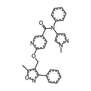 Cc1onc(-c2ccccc2)c1COc1ccc(C(=O)N(c2ccccc2)c2cnn(C)c2)cn1